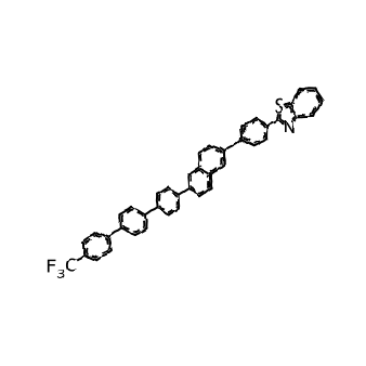 FC(F)(F)c1ccc(-c2ccc(-c3ccc(-c4ccc5cc(-c6ccc(-c7nc8ccccc8s7)cc6)ccc5c4)cc3)cc2)cc1